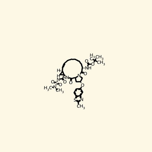 Cc1nc2cc(O[C@@H]3CC4C(=O)N[C@]5(C(=O)NS(=O)(=O)N(C)C)C[C@H]5/C=C\CCCCC[C@H](NC(=O)OC(C)(C)C)C(=O)N4C3)ccc2s1